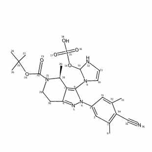 Cc1cc(-n2nc3c(c2N2C=CNC2OS(=O)(=O)O)[C@H](C)N(C(=O)OC(C)(C)C)CC3)cc(C)c1C#N